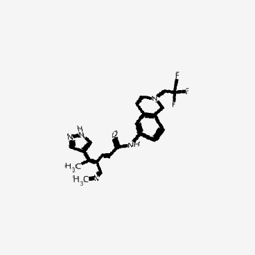 C\N=C/C(/C=C/C(=O)Nc1ccc2c(c1)CCN(CC(F)(F)F)C2)=C(\C)c1cn[nH]c1